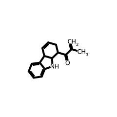 C=C(C)C(=O)C1CC=CC2c3ccccc3NC12